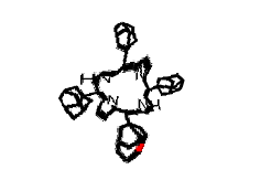 C1=Cc2nc1c(C13CC4CC(CC(C4)C1)C3)c1ccc([nH]1)c(C13CC4CC(CC(C4)C1)C3)c1nc(c(C34CC5CC(CC(C5)C3)C4)c3ccc([nH]3)c2C23CC4CC(CC(C4)C2)C3)C=C1